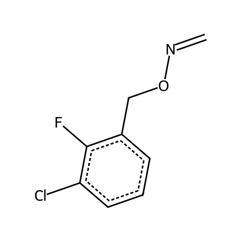 C=NOCc1cccc(Cl)c1F